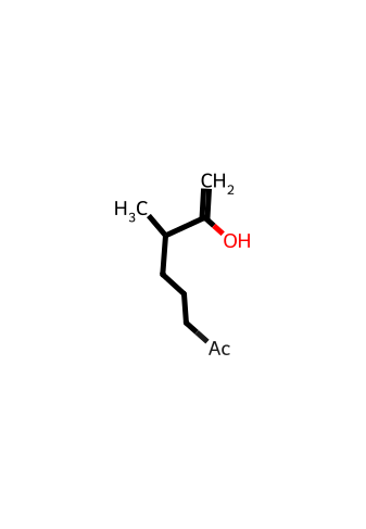 C=C(O)C(C)CCCC(C)=O